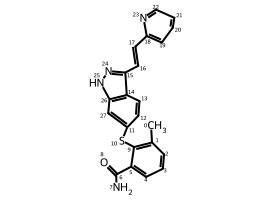 Cc1cccc(C(N)=O)c1Sc1ccc2c(C=Cc3ccccn3)n[nH]c2c1